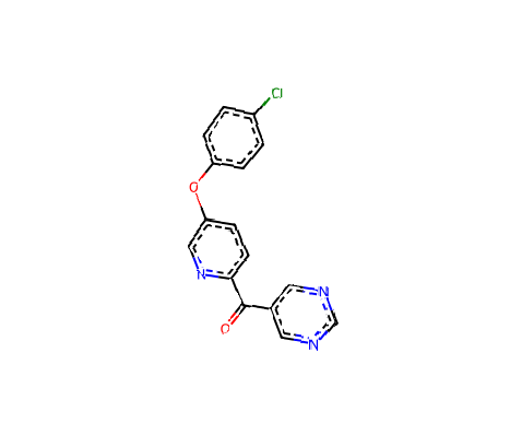 O=C(c1cncnc1)c1ccc(Oc2ccc(Cl)cc2)cn1